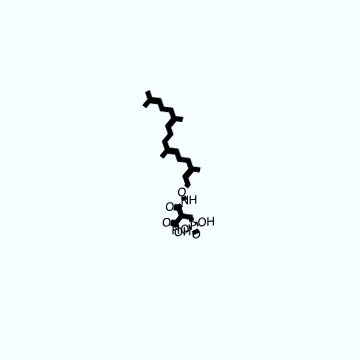 CC(C)=CCCC(C)=CCCC(C)=CCCC(C)=CCONC(=O)C(CP(=O)(O)O)C(=O)O